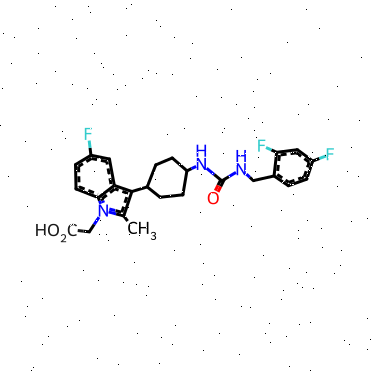 Cc1c(C2CCC(NC(=O)NCc3ccc(F)cc3F)CC2)c2cc(F)ccc2n1CC(=O)O